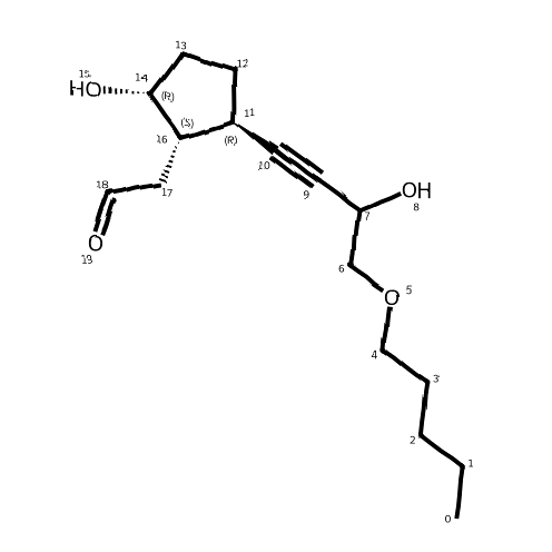 CCCCCOCC(O)C#C[C@@H]1CC[C@@H](O)[C@H]1CC=O